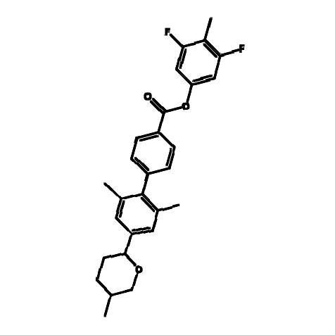 Cc1cc(C2CCC(C)CO2)cc(C)c1-c1ccc(C(=O)Oc2cc(F)c(C)c(F)c2)cc1